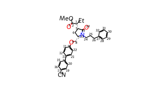 CCC(C(=O)OC)[C@H]1C[C@@H](COc2ccc(-c3ccc(C#N)cc3)cc2)N(CCCc2ccccc2)C1=O